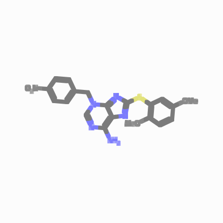 COc1ccc(OC)c(Sc2nc3c(N)ncn(Cc4ccc([N+](=O)[O-])cc4)c-3n2)c1